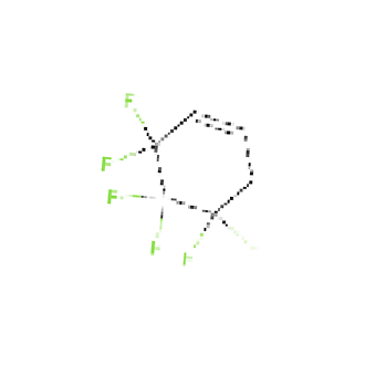 FC1(F)C=CCC(F)(F)C1(F)F